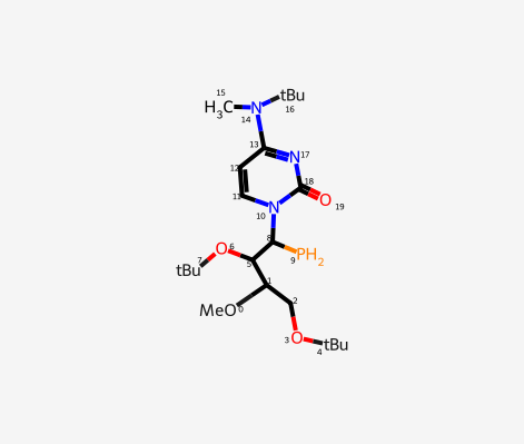 COC(COC(C)(C)C)C(OC(C)(C)C)C(P)n1ccc(N(C)C(C)(C)C)nc1=O